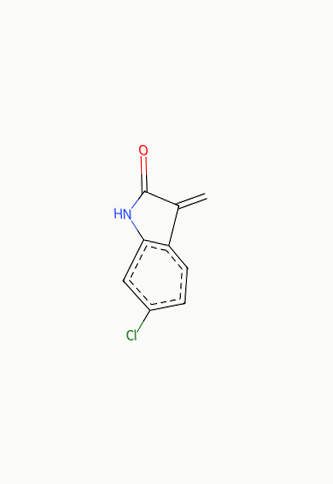 C=C1C(=O)Nc2cc(Cl)ccc21